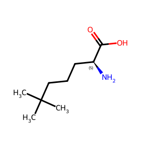 CC(C)(C)CCC[C@H](N)C(=O)O